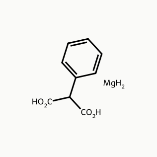 O=C(O)C(C(=O)O)c1ccccc1.[MgH2]